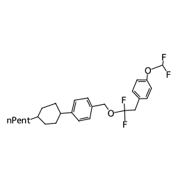 CCCCCC1CCC(c2ccc(COC(F)(F)Cc3ccc(OC(F)F)cc3)cc2)CC1